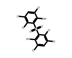 O=S(=O)(c1c(O)c(Cl)cc(Cl)c1Cl)c1c(O)c(Cl)cc(Cl)c1Cl